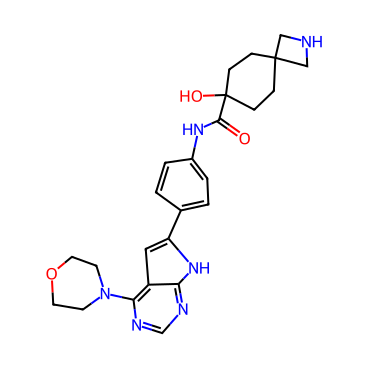 O=C(Nc1ccc(-c2cc3c(N4CCOCC4)ncnc3[nH]2)cc1)C1(O)CCC2(CC1)CNC2